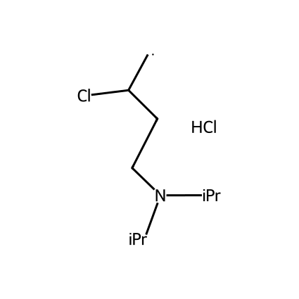 Cl.[CH2]C(Cl)CCN(C(C)C)C(C)C